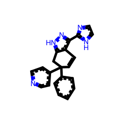 C1=CC(c2ccccc2)(c2ccncc2)Cc2[nH]nc(-c3ncc[nH]3)c21